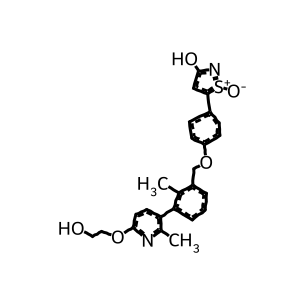 Cc1nc(OCCO)ccc1-c1cccc(COc2ccc(-c3cc(O)n[s+]3[O-])cc2)c1C